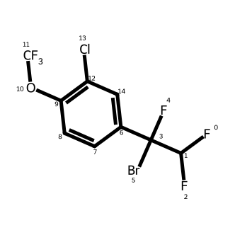 FC(F)C(F)(Br)c1ccc(OC(F)(F)F)c(Cl)c1